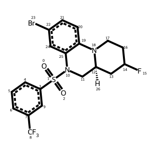 O=S(=O)(c1cccc(C(F)(F)F)c1)N1C[C@@H]2CC(F)CCN2c2ccc(Br)cc21